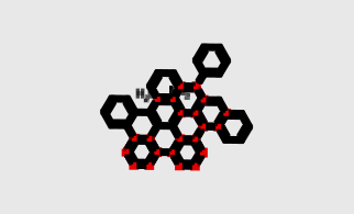 Nc1c(N)c(-c2c(-c3ccccc3)cccc2N(c2ccccc2)c2ccccc2)c(-c2c(-c3ccccc3)cccc2N(c2ccccc2)c2ccccc2)c(-c2ccccc2)c1-c1ccccc1-c1ccccc1